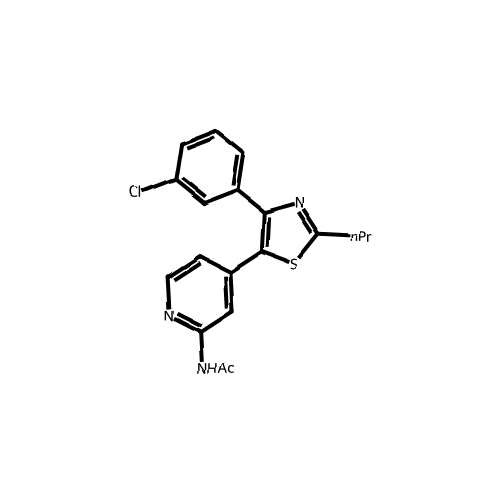 CCCc1nc(-c2cccc(Cl)c2)c(-c2ccnc(NC(C)=O)c2)s1